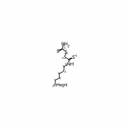 CCCCCCCCCCCCNC(=S)SSC(N)=S